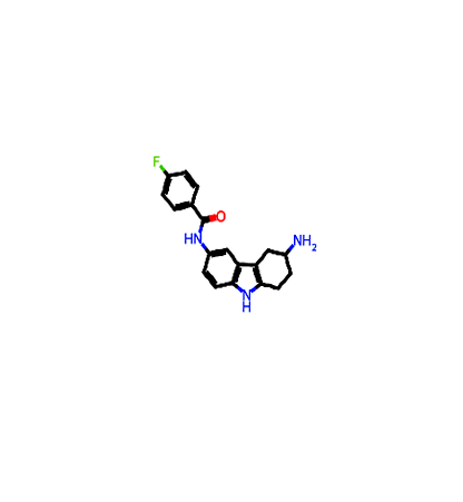 NC1CCc2[nH]c3ccc(NC(=O)c4ccc(F)cc4)cc3c2C1